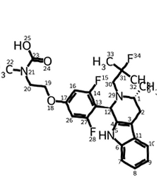 C[C@@H]1Cc2c([nH]c3ccccc23)[C@@H](c2c(F)cc(OCCN(C)C(=O)O)cc2F)N1CC(C)(C)F